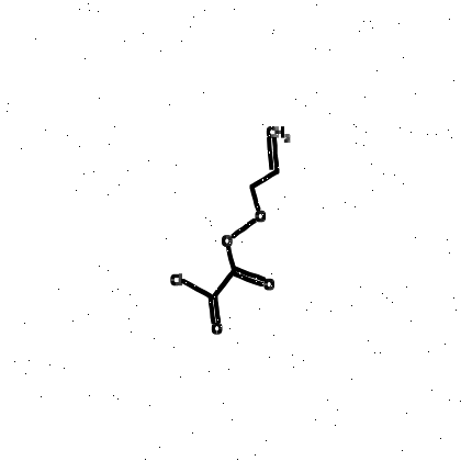 C=CCOOC(=O)C(=O)Cl